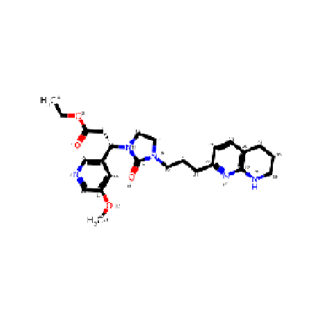 CCOC(=O)C[C@@H](c1cncc(OC)c1)N1CCN(CCCc2ccc3c(n2)NCCC3)C1=O